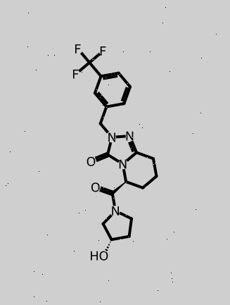 O=C([C@@H]1CCCc2nn(Cc3cccc(C(F)(F)F)c3)c(=O)n21)N1CC[C@H](O)C1